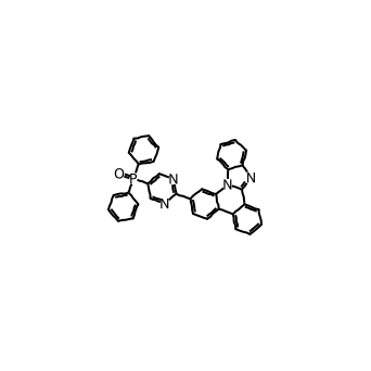 O=P(c1ccccc1)(c1ccccc1)c1cnc(-c2ccc3c4ccccc4c4nc5ccccc5n4c3c2)nc1